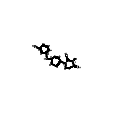 CN1C(=O)CCN(c2ccc(Oc3cccc(F)c3)cc2)C1=O